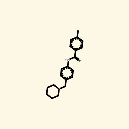 Cc1ccc(C(=O)Nc2ccc(CN3CCCCC3)cc2)cc1